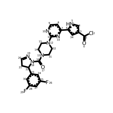 O=C(Cl)c1c[nH]c(-c2ccnc(N3CCN(C(=O)N4N=CCC4c4cc(F)cc(F)c4)CC3)n2)c1